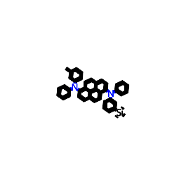 Cc1cccc(N(c2ccccc2)c2ccc3ccc4c(N(c5ccccc5)c5cccc([Si](C)(C)C)c5)ccc5ccc2c3c54)c1